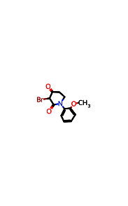 COc1ccccc1N1CCC(=O)C(Br)C1=O